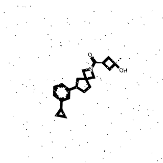 C[C@]1(O)C[C@@H](C(=O)N2CC3(CCC(c4cccc(C5CC5)c4)C3)C2)C1